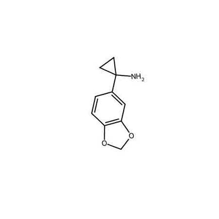 NC1(c2ccc3c(c2)OCO3)CC1